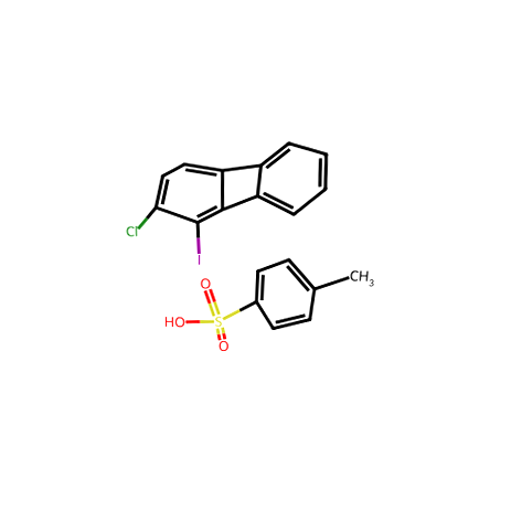 Cc1ccc(S(=O)(=O)O)cc1.Clc1ccc2c(c1I)-c1ccccc1-2